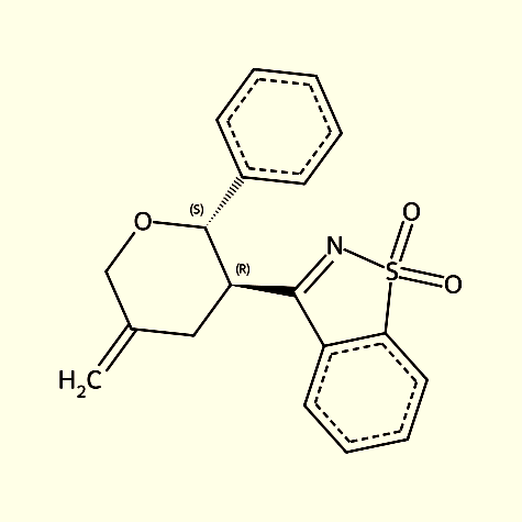 C=C1CO[C@H](c2ccccc2)[C@@H](C2=NS(=O)(=O)c3ccccc32)C1